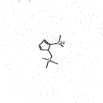 C[SiH](C)C1=CC=CC1C[Si](C)(C)C